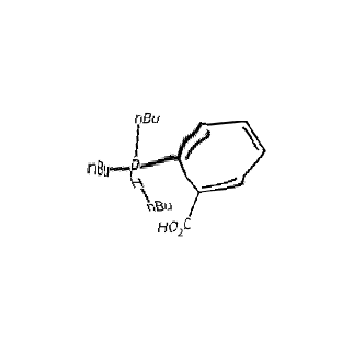 CCCC[PH](CCCC)(CCCC)c1ccccc1C(=O)O